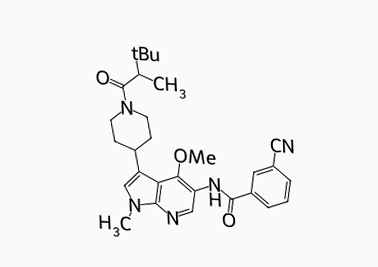 COc1c(NC(=O)c2cccc(C#N)c2)cnc2c1c(C1CCN(C(=O)C(C)C(C)(C)C)CC1)cn2C